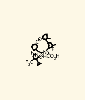 Cc1cc2cc(c1F)[C@@H](CC(=O)O)NC(=O)[C@H](n1ccc(C(F)(F)F)c(C3CC3)c1=O)c1cc(ccc1F)COc1cccc(C)c1-2